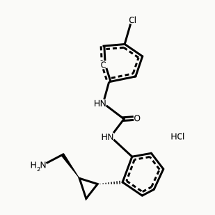 Cl.NC[C@@H]1C[C@H]1c1ccccc1NC(=O)Nc1ccc(Cl)cc1